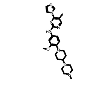 COc1cc(Nc2ncc(I)c(-n3ccnc3)n2)ccc1N1CCC(N2CCN(C)CC2)CC1